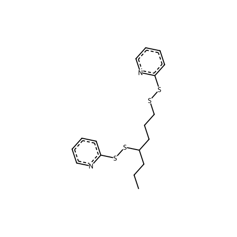 CCCC(CCCSSc1ccccn1)SSc1ccccn1